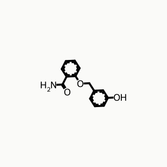 NC(=O)c1ccccc1OCc1cccc(O)c1